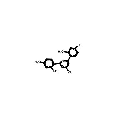 Cc1ccc(-c2cc(C(F)(F)F)cc(-c3ccc(C)cc3C)n2)c(C)c1